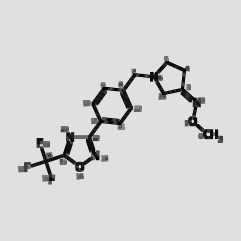 CON=C1CCN(Cc2ccc(-c3noc(C(F)(F)F)n3)cc2)C1